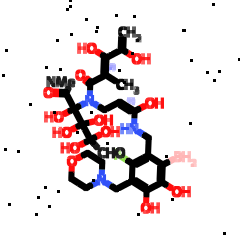 Bc1c(O)c(O)c(CN2CCOCC2)c(F)c1CN/C(O)=C\CN(C(=O)/C(C)=C(\O)C(=C)O)C(O)(C(=O)NC)C(O)(O)C(O)(O)C=O